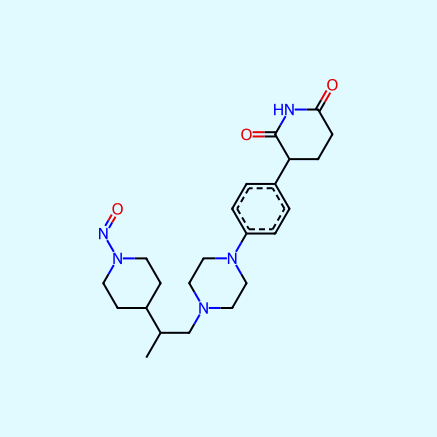 CC(CN1CCN(c2ccc(C3CCC(=O)NC3=O)cc2)CC1)C1CCN(N=O)CC1